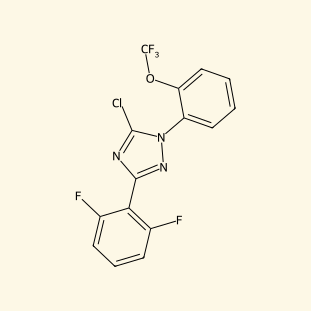 Fc1cccc(F)c1-c1nc(Cl)n(-c2ccccc2OC(F)(F)F)n1